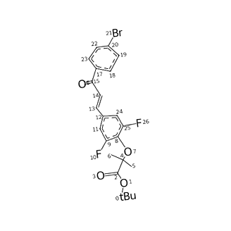 CC(C)(C)OC(=O)C(C)(C)Oc1c(F)cc(C=CC(=O)c2ccc(Br)cc2)cc1F